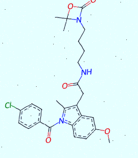 COc1ccc2c(c1)c(CC(=O)NCCCCN1C(=O)OC1(C)C)c(C)n2C(=O)c1ccc(Cl)cc1